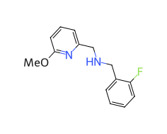 COc1cccc(CNCc2ccccc2F)n1